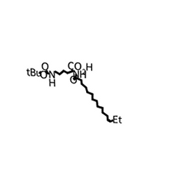 CC/C=C\CCCCCCCCCCCC(=O)NC(CCCCNC(=O)OC(C)(C)C)C(=O)O